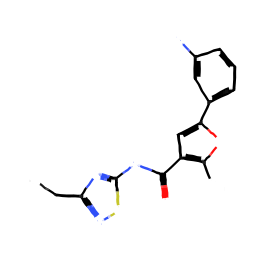 CC(=O)Cc1nsc(NC(=O)c2cc(-c3cccc(N)c3)oc2C)n1